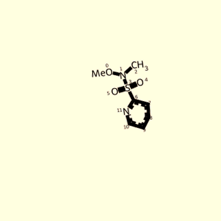 CON(C)S(=O)(=O)c1ccccn1